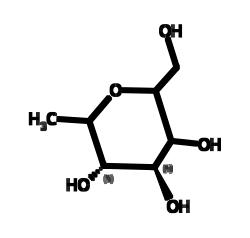 CC1OC(CO)C(O)[C@@H](O)[C@@H]1O